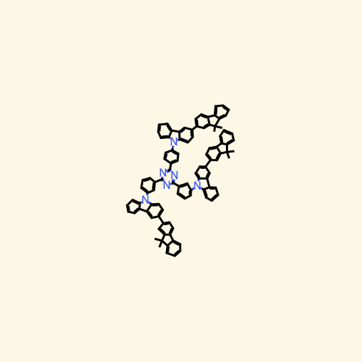 CC1(C)c2ccccc2-c2ccc(-c3ccc4c(c3)c3ccccc3n4-c3ccc(-c4nc(-c5cccc(-n6c7ccccc7c7cc(-c8ccc9c(c8)C(C)(C)c8ccccc8-9)ccc76)c5)nc(-c5cccc(-n6c7ccccc7c7cc(-c8ccc9c(c8)C(C)(C)c8ccccc8-9)ccc76)c5)n4)cc3)cc21